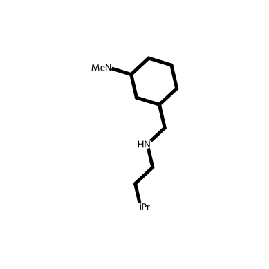 CNC1CCCC(CNCCC(C)C)C1